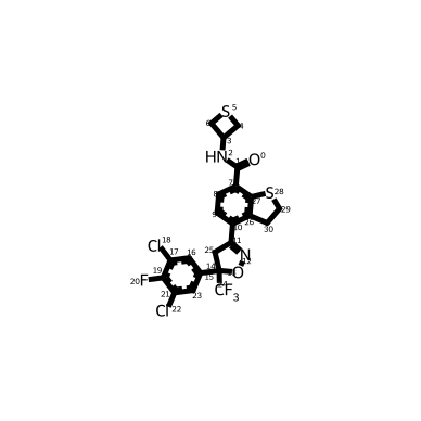 O=C(NC1CSC1)c1ccc(C2=NOC(c3cc(Cl)c(F)c(Cl)c3)(C(F)(F)F)C2)c2c1SCC2